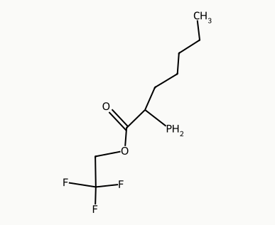 CCCCCC(P)C(=O)OCC(F)(F)F